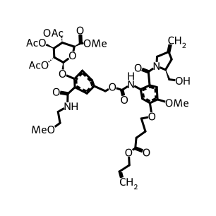 C=CCOC(=O)CCCOc1cc(NC(=O)OCc2ccc(O[C@@H]3O[C@H](C(=O)OC)[C@@H](OC(C)=O)[C@H](OC(C)=O)[C@H]3OC(C)=O)c(C(=O)NCCOC)c2)c(C(=O)N2CC(=C)C[C@H]2CO)cc1OC